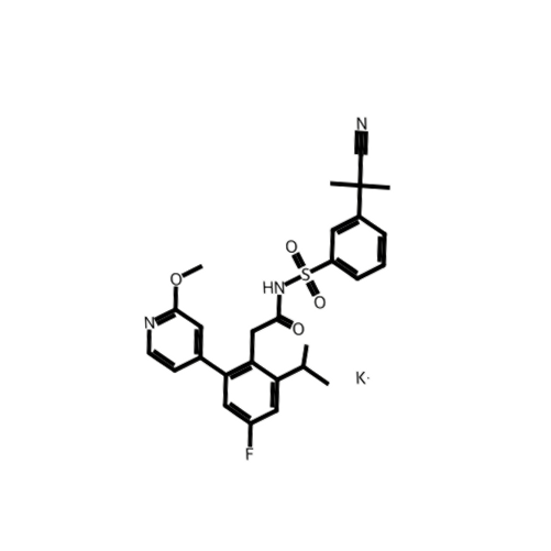 COc1cc(-c2cc(F)cc(C(C)C)c2CC(=O)NS(=O)(=O)c2cccc(C(C)(C)C#N)c2)ccn1.[K]